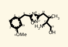 COc1cccc(Cc2nc(CC(C)C(N)CO)no2)c1